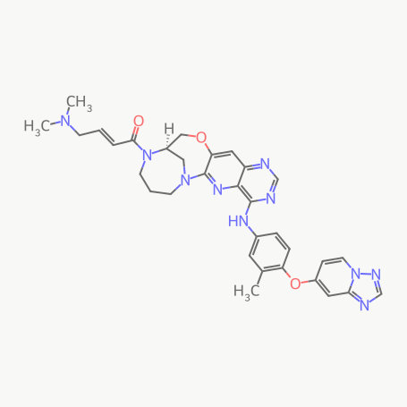 Cc1cc(Nc2ncnc3cc4c(nc23)N2CCCN(C(=O)/C=C/CN(C)C)[C@@H](CO4)C2)ccc1Oc1ccn2ncnc2c1